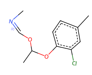 C/N=C\OC(C)Oc1ccc(C)cc1Cl